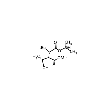 COC(=O)[C@H]([C@@H](C)O)N(C(=O)O[SiH](C)C)C(C)(C)C